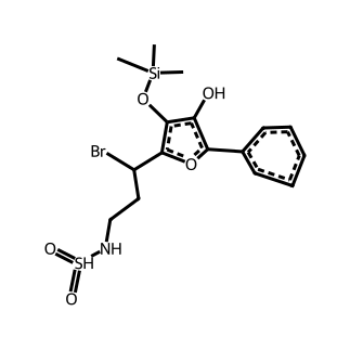 C[Si](C)(C)Oc1c(C(Br)CCN[SH](=O)=O)oc(-c2ccccc2)c1O